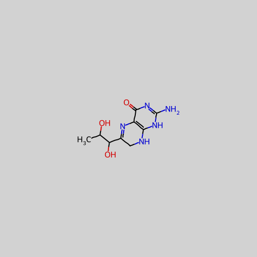 CC(O)C(O)C1=Nc2c([nH]c(N)nc2=O)NC1